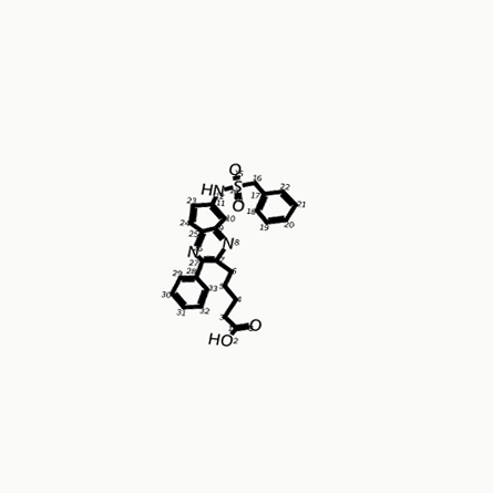 O=C(O)CCCCc1nc2cc(NS(=O)(=O)Cc3ccccc3)ccc2nc1-c1ccccc1